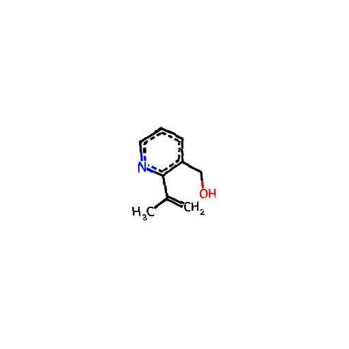 C=C(C)c1ncccc1CO